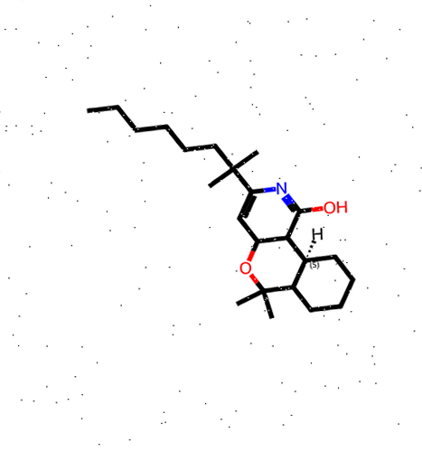 CCCCCCC(C)(C)C1=CC2OC(C)(C)C3CCCC[C@@H]3C2C(O)=N1